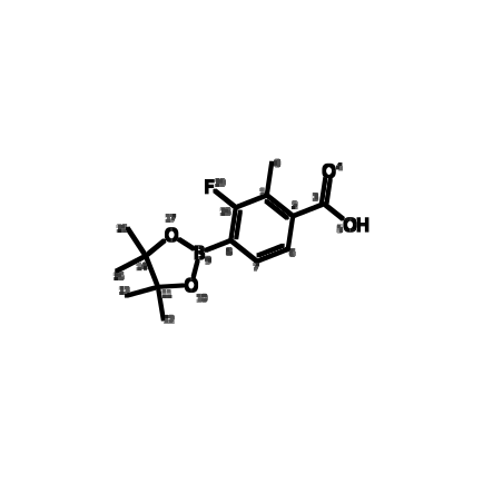 Cc1c(C(=O)O)ccc(B2OC(C)(C)C(C)(C)O2)c1F